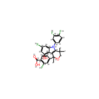 CC1(C)COC(C)(c2ccc(C(=O)O)c(F)c2)c2c1n(-c1ccc(F)c(F)c1)c1cc(F)cc(O)c21